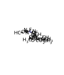 C#CCOc1cnc(/C(F)=C/c2cnc(F)c([C@@]3(C)N=C(N(COCC[Si](C)(C)C)C(=O)O)S[C@@]4(C(=O)N(C)C)C[C@H]43)c2)cn1